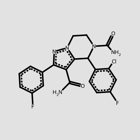 NC(=O)c1c(-c2cccc(F)c2)nn2c1C(c1ccc(F)cc1Cl)N(C(N)=O)CC2